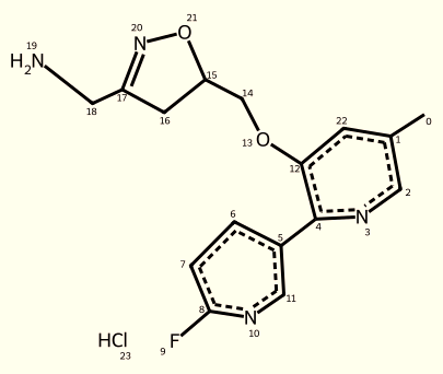 Cc1cnc(-c2ccc(F)nc2)c(OCC2CC(CN)=NO2)c1.Cl